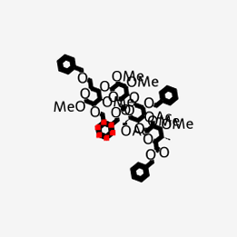 COC1C(OC)[C@H](O[C@H]2O[C@@H](COC(C)=O)[C@@H](O[C@@H]3OC(C(=O)OCc4ccccc4)[C@@H](C)[C@H](OC)C3OC)C(OC(C)=O)C2OCc2ccccc2)[C@H](C(=O)OCc2ccccc2)O[C@@H]1O[C@@H]1C(COCc2ccccc2)O[C@H](OC)C(OCc2ccccc2)[C@H]1OC